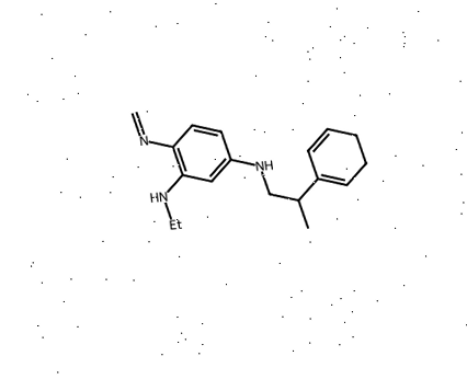 C=Nc1ccc(NCC(C)C2=CCCC=C2)cc1NCC